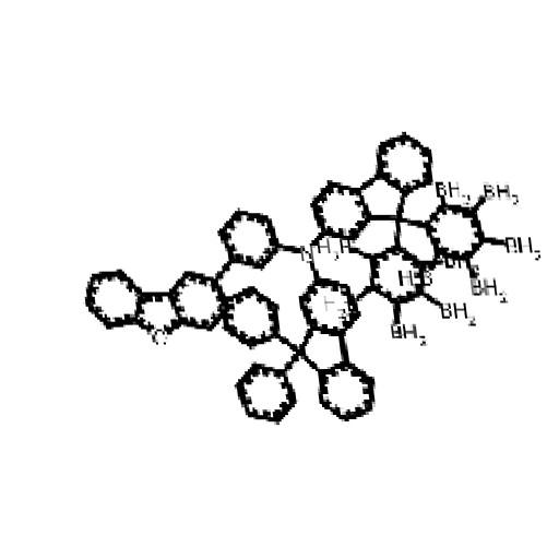 Bc1c(B)c(B)c(C2(c3c(B)c(B)c(B)c(B)c3B)c3ccccc3-c3ccc(N(c4cccc(-c5ccc6oc7ccccc7c6c5)c4)c4ccc5c(c4)C(c4ccccc4)(c4ccccc4)c4ccccc4-5)cc32)c(B)c1B